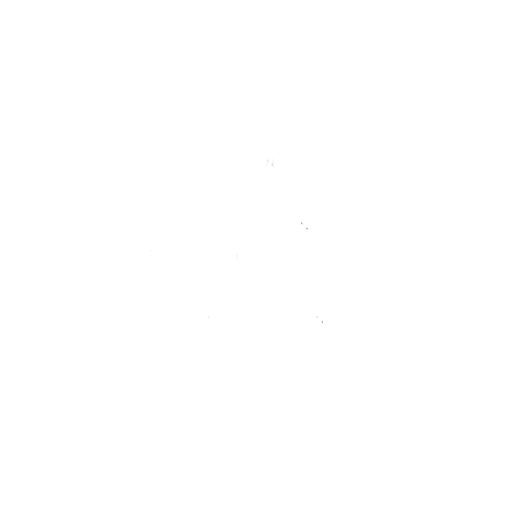 CC/C(=N\c1c(CC)cccc1CC)c1ccc2ccc3cccnc3c2n1.[Cl-].[Cl-].[Fe+2]